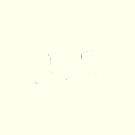 C=C(Cl)CC1CCCC1